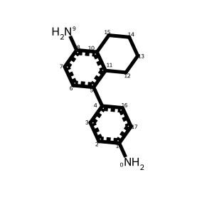 Nc1ccc(-c2ccc(N)c3c2CCCC3)cc1